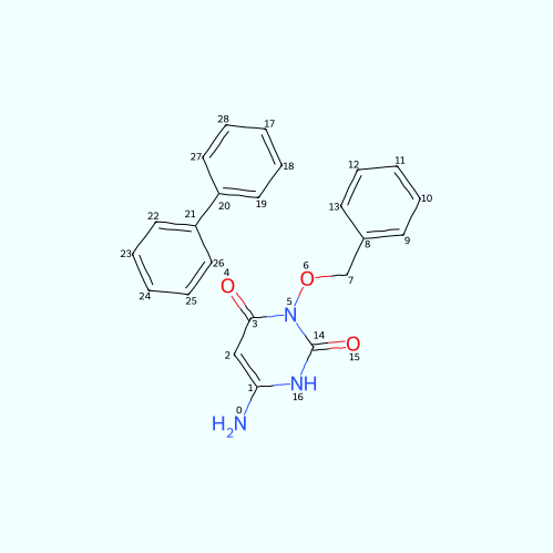 Nc1cc(=O)n(OCc2ccccc2)c(=O)[nH]1.c1ccc(-c2ccccc2)cc1